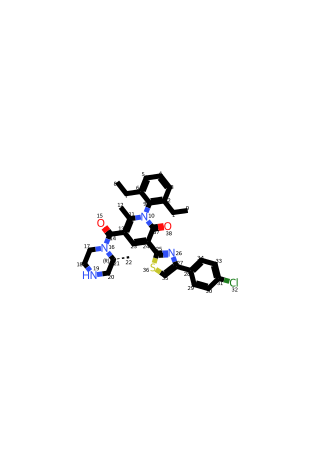 CCc1cccc(CC)c1-n1c(C)c(C(=O)N2CCNC[C@H]2C)cc(-c2nc(-c3ccc(Cl)cc3)cs2)c1=O